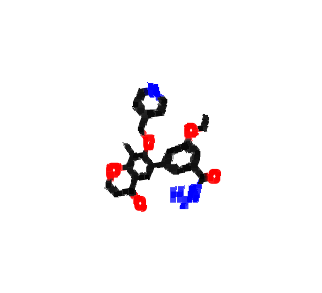 CCOc1cc(C(N)=O)cc(-c2cc3c(c(C)c2OCc2ccncc2)OCCC3=O)c1